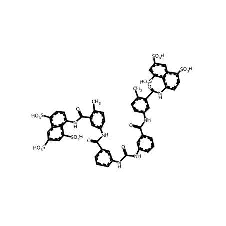 Cc1ccc(NC(=O)c2cccc(NC(=O)Nc3cccc(C(=O)Nc4ccc(C)c(C(=O)Nc5ccc(S(=O)(=O)O)c6cc(S(=O)(=O)O)cc(S(=O)(=O)O)c56)c4)c3)c2)cc1C(=O)Nc1ccc(S(=O)(=O)O)c2cc(S(=O)(=O)O)cc(S(=O)(=O)O)c12